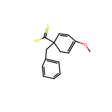 COC1=CCC(Cc2ccccc2)(C(=S)S)C=C1